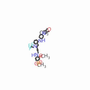 COc1cc(S(C)(=O)=O)ccc1NCC#Cc1cc2c(NC3CCC(C)(N4CC5COCC5C4)CC3)cccc2n1CC(F)(F)F